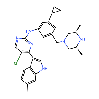 Cc1ccc2c(-c3nc(Nc4cc(CN5C[C@@H](C)N[C@@H](C)C5)cc(C5CC5)c4)ncc3Cl)c[nH]c2c1